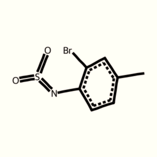 Cc1ccc(N=S(=O)=O)c(Br)c1